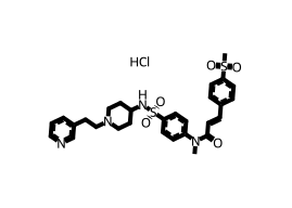 CN(C(=O)C=Cc1ccc(S(C)(=O)=O)cc1)c1ccc(S(=O)(=O)NC2CCN(CCc3cccnc3)CC2)cc1.Cl